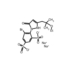 CCOC(C)(C)Cc1cc(=O)n(-c2c(Br)cc(S(=O)(=O)[O-])cc2S(=O)(=O)[O-])[nH]1.[Na+].[Na+]